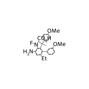 CCc1cc(N)c2c(c1-c1cccc(OC)c1)C(C)(c1ccc(OC)cc1)C(C(=O)O)N2F